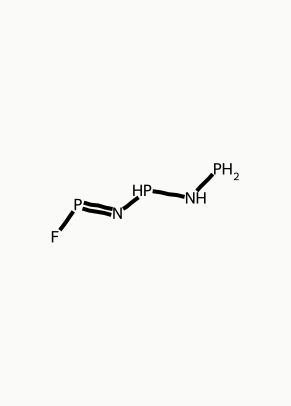 FP=NPNP